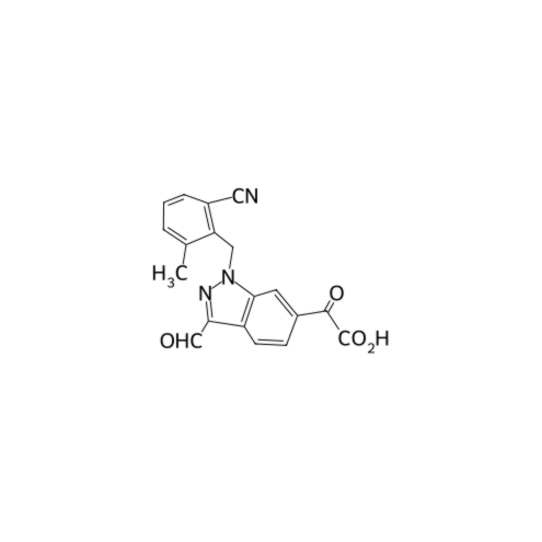 Cc1cccc(C#N)c1Cn1nc(C=O)c2ccc(C(=O)C(=O)O)cc21